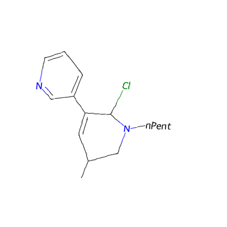 CCCCCN1CC(C)C=C(c2cccnc2)C1Cl